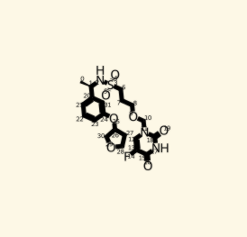 C[C@@H](NS(=O)(=O)CCCOCn1cc(F)c(=O)[nH]c1=O)c1cccc(OC2CCOC2)c1